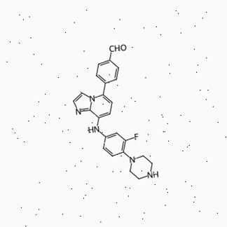 O=Cc1ccc(-c2ccc(Nc3ccc(N4CCNCC4)c(F)c3)c3nccn23)cc1